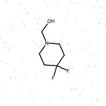 OCN1CCC(F)(F)CC1